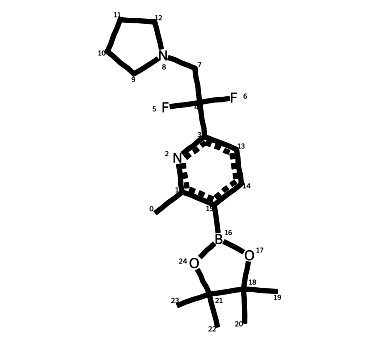 Cc1nc(C(F)(F)CN2CCCC2)ccc1B1OC(C)(C)C(C)(C)O1